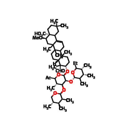 CCC1O[C@@H](OC2[C@H](O[C@H]3CCC4(C)C5CC=C6C7CC(C)(C)CC[C@]7(C(=O)O)[C@H](OC)CC6(C)C5(C)CC[C@H]4C3(C)C=O)OC(C(C)=O)[C@@H](C)[C@@H]2O[C@@H]2OC[C@@H](C)[C@H](C)C2C)C(C)[C@@H](C)[C@H]1C